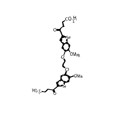 COc1cc2[se]c(C(=O)CCC(=O)O)cc2cc1OCCOc1cc2cc(C(=O)CCC(=O)O)[se]c2cc1OC